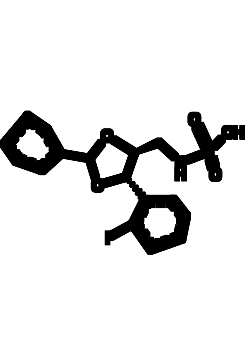 O=S(=O)(O)NC[C@@H]1OC(c2ccccc2)O[C@H]1c1ccccc1I